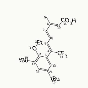 CCOc1c(C(=CC=CC(C)=CC(=O)O)C(F)(F)F)cc(C(C)(C)C)cc1C(C)(C)C